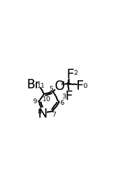 FC(F)(F)Oc1ccncc1Br